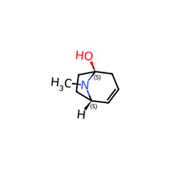 CN1[C@@H]2C=CC[C@@]1(O)CC2